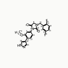 COc1cc(N2C(=O)CN(Cc3cc(F)ccc3F)C2=O)ccc1-c1cn[nH]c1